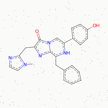 Cn1ccnc1Cc1nc2c(Cc3ccccc3)[nH]c(-c3ccc(O)cc3)cn-2c1=O